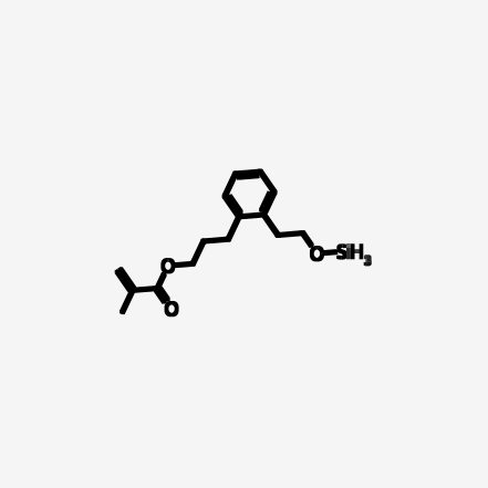 C=C(C)C(=O)OCCCc1ccccc1CCO[SiH3]